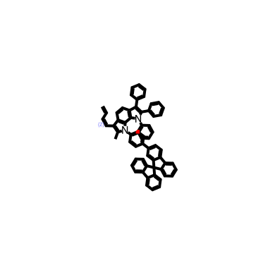 C=C/C=C\c1c(C)n(-c2ccc(-c3ccc4c(c3)C3(c5ccccc5-c5ccccc53)c3ccccc3-4)cc2)c2c1ccc1c(-c3ccccc3)c(-c3ccccc3)n(-c3ccccc3)c12